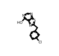 Oc1ncnc2sc(Cc3cccc(Cl)c3)nc12